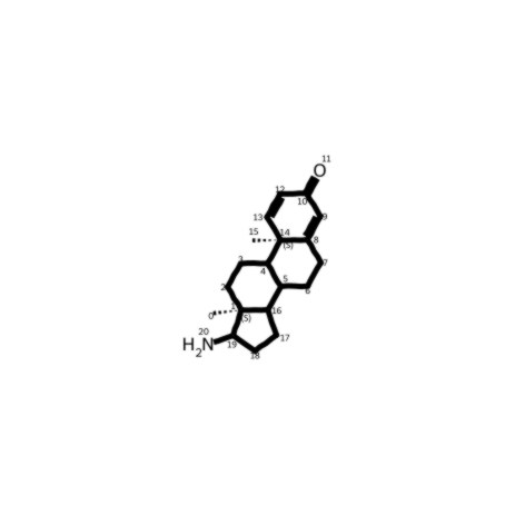 C[C@]12CCC3C(CCC4=CC(=O)C=C[C@@]43C)C1CCC2N